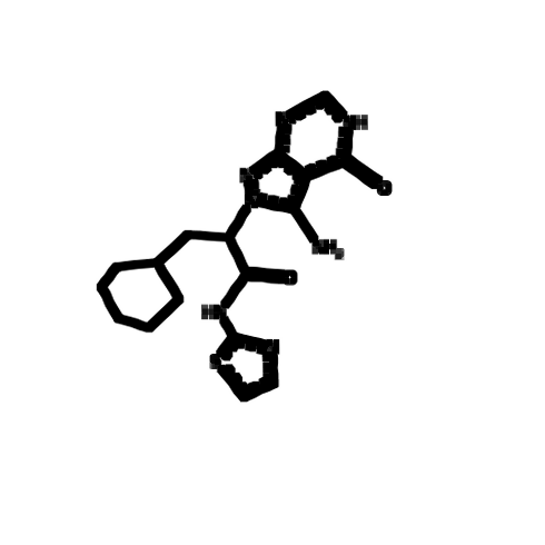 Nc1c2c(=O)[nH]cnc2nn1C(CC1CCCCC1)C(=O)Nc1nccs1